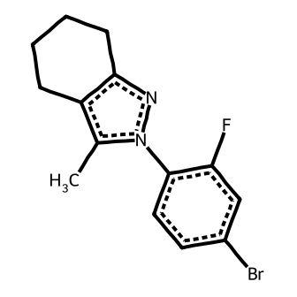 Cc1c2c(nn1-c1ccc(Br)cc1F)CCCC2